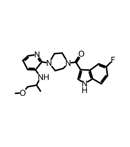 COCC(C)Nc1cccnc1N1CCN(C(=O)c2c[nH]c3ccc(F)cc23)CC1